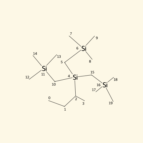 CCC(C)[Si](C[Si](C)(C)C)(C[Si](C)(C)C)C[Si](C)(C)C